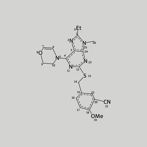 CCc1nc2c(N3C=COCC3)nc(SCc3ccc(OC)c(C#N)c3)nc2n1C